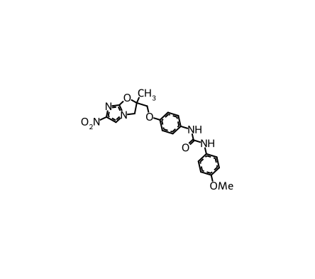 COc1ccc(NC(=O)Nc2ccc(OCC3(C)Cn4cc([N+](=O)[O-])nc4O3)cc2)cc1